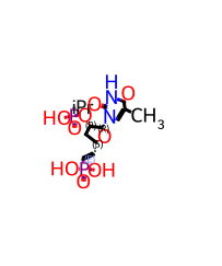 Cc1cn([C@@H]2O[C@H](/C=C/P(=O)(O)O)C[C@H]2OP(=O)(O)C(C)C)c(=O)[nH]c1=O